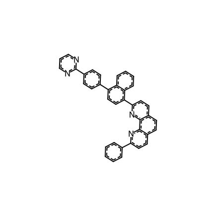 c1ccc(-c2ccc3ccc4ccc(-c5ccc(-c6ccc(-c7ncccn7)cc6)c6ccccc56)nc4c3n2)cc1